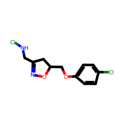 ClNCC1=NOC(COc2ccc(Cl)cc2)C1